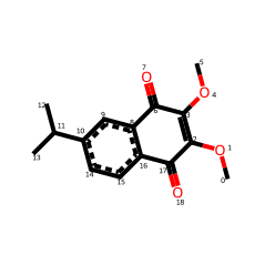 COC1=C(OC)C(=O)c2cc(C(C)C)ccc2C1=O